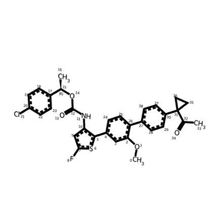 COc1cc(-c2sc(F)cc2NC(=O)O[C@H](C)c2ccc(Cl)cc2)ccc1-c1ccc(C2(C(C)=O)CC2)cc1